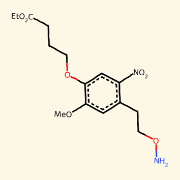 CCOC(=O)CCCOc1cc([N+](=O)[O-])c(CCON)cc1OC